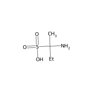 [CH2]CC(C)(N)S(=O)(=O)O